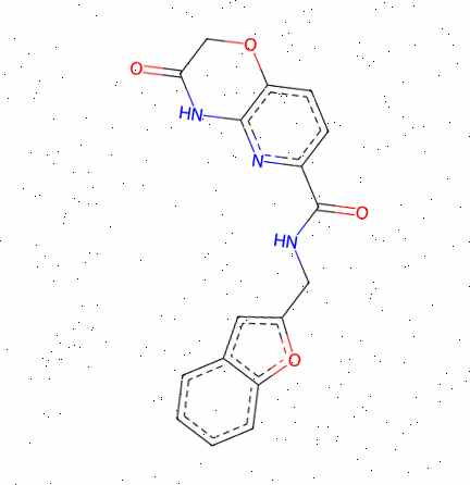 O=C1COc2ccc(C(=O)NCc3cc4ccccc4o3)nc2N1